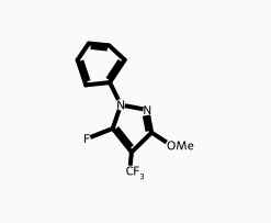 COc1nn(-c2ccccc2)c(F)c1C(F)(F)F